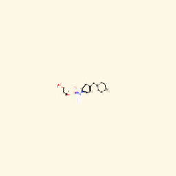 COCCC(C)(C)OC(=O)Nc1ccc(CC2CCC(C)CC2)cc1